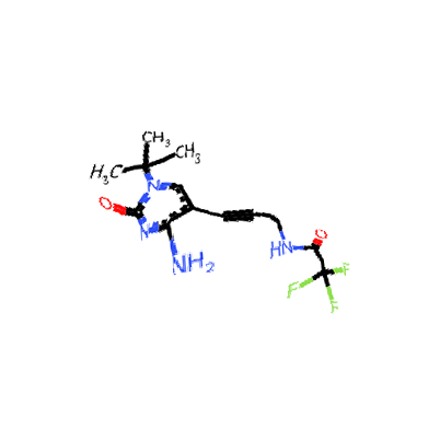 CC(C)(C)n1cc(C#CCNC(=O)C(F)(F)F)c(N)nc1=O